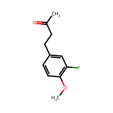 COc1ccc(CCC(C)=O)cc1F